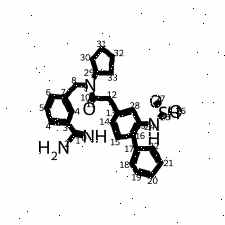 N=C(N)c1cccc(CN(C(=O)Cc2ccc(-c3ccccc3)c(N[SH](=O)=O)c2)C2CCCC2)c1